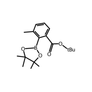 Cc1cccc(C(=O)OC(C)(C)C)c1B1OC(C)(C)C(C)(C)O1